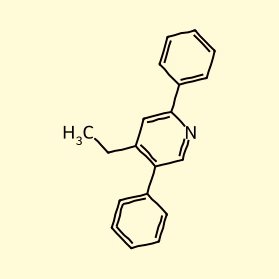 CCc1cc(-c2ccccc2)ncc1C1=C=C=CC=C1